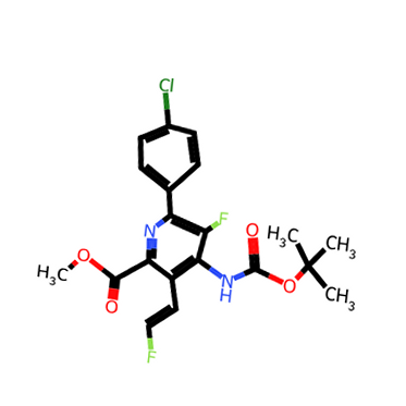 COC(=O)c1nc(-c2ccc(Cl)cc2)c(F)c(NC(=O)OC(C)(C)C)c1C=CF